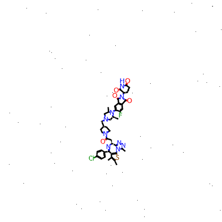 Cc1sc2c(c1C)C(c1ccc(Cl)cc1)=N[C@@H](CC(=O)N1CCC(CN3CC(C)N(c4cc5c(cc4F)C(=O)N(C4CCC(=O)NC4=O)C5=O)C(C)C3)CC1)c1nnc(C)n1-2